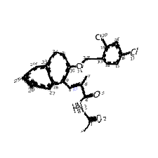 CC(=O)NC(=O)/C(C)=C/c1c(OCc2ccc(Cl)cc2Cl)ccc2ccccc12